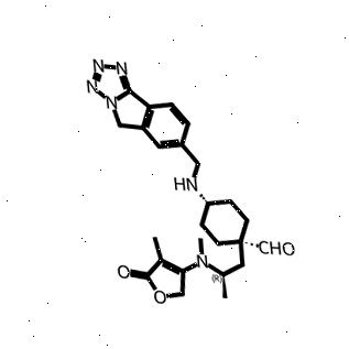 CC1=C(N(C)[C@H](C)C[C@]2(C=O)CC[C@@H](NCc3ccc4c(c3)Cn3nnnc3-4)CC2)COC1=O